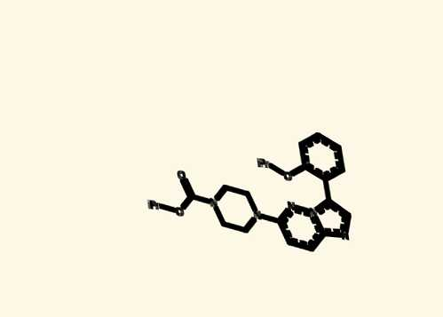 CC(C)OC(=O)N1CCN(c2ccc3ncc(-c4ccccc4OC(C)C)n3n2)CC1